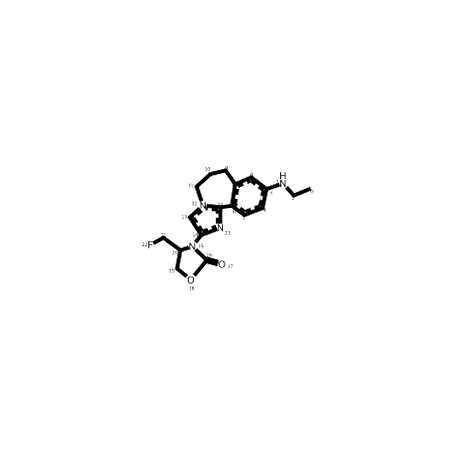 CCNc1ccc2c(c1)CCCn1cc(N3C(=O)OCC3CF)nc1-2